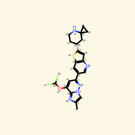 Cc1cn2nc(-c3cnc4cc([C@@H]5CCNC6(CC6)C5)sc4c3)cc(OC(F)F)c2n1